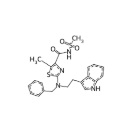 Cc1sc(N(CCc2c[nH]c3ccccc23)Cc2ccccc2)nc1C(=O)NS(C)(=O)=O